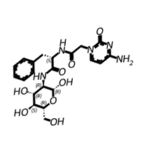 Nc1ccn(CC(=O)N[C@@H](Cc2ccccc2)C(=O)N[C@@H]2[C@@H](O)[C@H](O)[C@@H](CO)O[C@H]2O)c(=O)n1